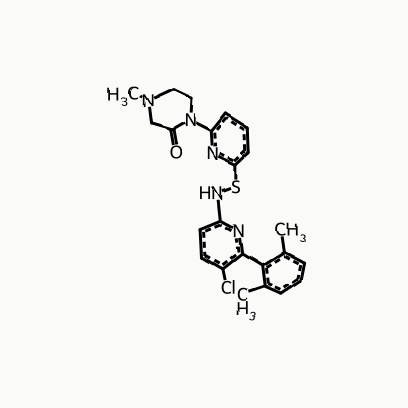 Cc1cccc(C)c1-c1nc(NSc2cccc(N3CCN(C)CC3=O)n2)ccc1Cl